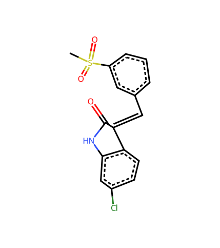 CS(=O)(=O)c1cccc(C=C2C(=O)Nc3cc(Cl)ccc32)c1